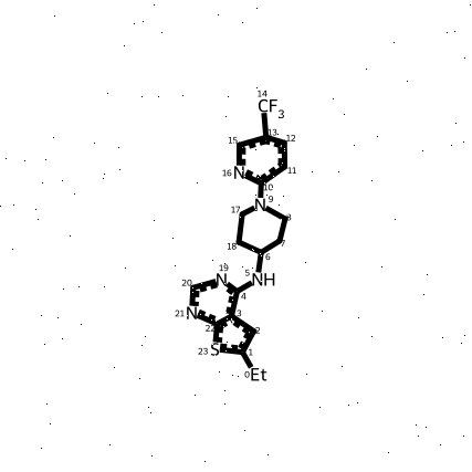 CCc1cc2c(NC3CCN(c4ccc(C(F)(F)F)cn4)CC3)ncnc2s1